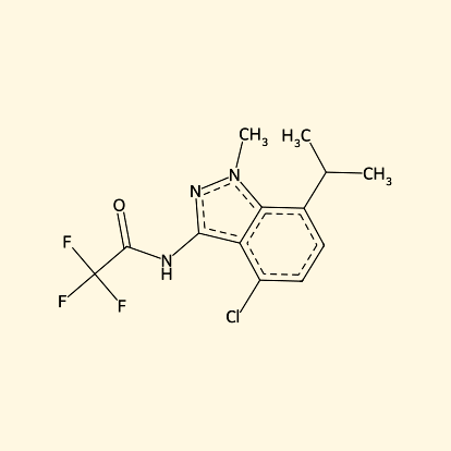 CC(C)c1ccc(Cl)c2c(NC(=O)C(F)(F)F)nn(C)c12